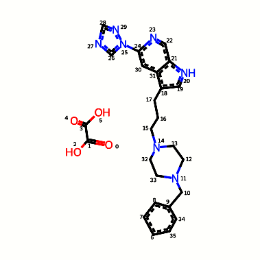 O=C(O)C(=O)O.c1ccc(CN2CCN(CCCc3c[nH]c4cnc(-n5cncn5)cc34)CC2)cc1